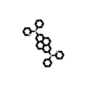 c1ccc(N(c2cc3ccc4cc(N(c5ccccc5)c5ccccn5)cc5ccc(c2)c3c45)c2ccccn2)cc1